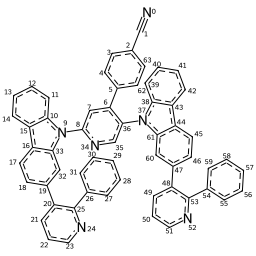 N#Cc1ccc(-c2cc(-n3c4ccccc4c4ccc(-c5cccnc5-c5ccccc5)cc43)ncc2-n2c3ccccc3c3ccc(-c4cccnc4-c4ccccc4)cc32)cc1